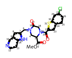 COC(=O)C1CN(Cc2cc3cnccc3[nH]2)C(=O)CN1C(=O)c1cc2ccc(Cl)cc2s1